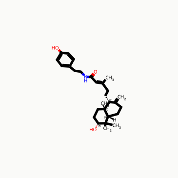 C=C1CC[C@@H]2C(C)(C)[C@H](O)CC[C@@]2(C)[C@@H]1CCC(C)=CC(=O)NCCc1ccc(O)cc1